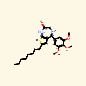 CCCCCCCCc1cc2c(s1)NC(=O)CN=C2c1cc(OC)c(OC)c(OC)c1